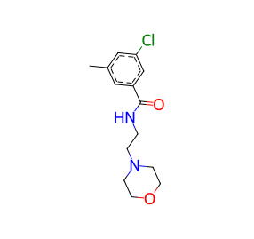 Cc1cc(Cl)cc(C(=O)NCCN2CCOCC2)c1